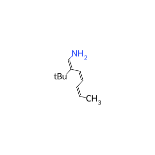 C\C=C/C=C\C(=C/N)C(C)(C)C